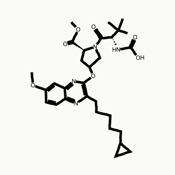 COC(=O)[C@@H]1CC(Oc2nc3cc(OC)ccc3nc2CCCCCC2CC2)CN1C(=O)[C@@H](NC(=O)O)C(C)(C)C